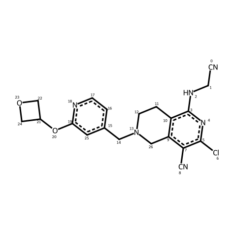 N#CCNc1nc(Cl)c(C#N)c2c1CCN(Cc1ccnc(OC3COC3)c1)C2